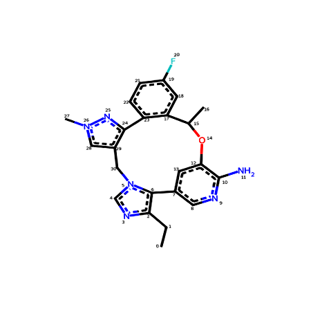 CCc1ncn2c1-c1cnc(N)c(c1)OC(C)c1cc(F)ccc1-c1nn(C)cc1C2